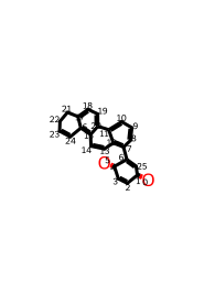 O=C1C=CC(=O)C(c2cccc3c2ccc2c4c(ccc23)CCC=C4)=C1